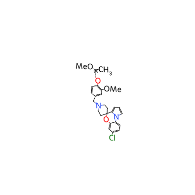 COc1cc(CN2CCC3(CC2)Oc2cc(Cl)ccc2-n2cccc23)ccc1OC[C@@H](C)OC